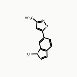 Cn1ncc2ccc(-c3cc(C(=O)O)no3)cc21